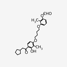 Cc1c(OC=O)cccc1OCCCCOc1ccc(C(=O)CC2CCCC2)c(O)c1C